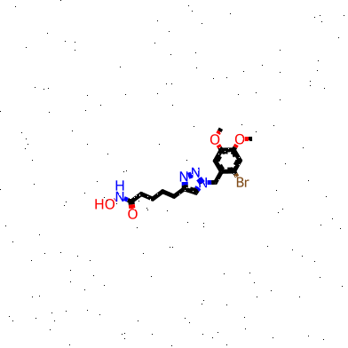 COc1cc(Br)c(Cn2cc(CCCCC(=O)NO)nn2)cc1OC